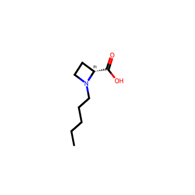 CCCCCN1CC[C@@H]1C(=O)O